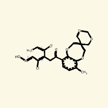 C\C=C(Cl)/C(CC(=O)c1ccc(C)c2c1OCC1(COCOC1)CO2)=C(Cl)\C=N\O